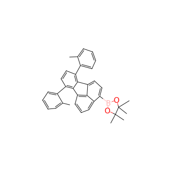 Cc1ccccc1-c1ccc(-c2ccccc2C)c2c1-c1cccc3c(B4OC(C)(C)C(C)(C)O4)ccc-2c13